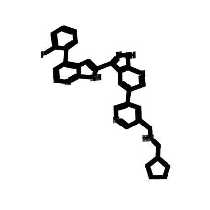 Fc1ccccc1-c1ccnc2[nH]c(-c3n[nH]c4ncc(-c5cncc(CNCC6CCCC6)c5)cc34)cc12